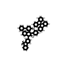 CC1(C)c2ccccc2-c2ccc(-c3c4ccccc4cc4c3oc3cccc(N(c5ccc(-c6ccccc6)cc5)c5ccc6c(c5)C5(c7ccccc7-c7ccccc75)c5ccccc5-6)c34)cc21